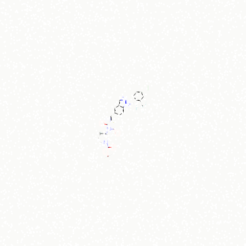 CC(C)(C)OC(=O)N1CC[C@@H](F)[C@@H](N2C(=O)S/C(=C\c3ccc4c(cnn4Cc4ccc(Cl)cc4C(F)(F)F)c3)C2=O)C1